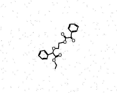 CCOC(=O)C(OCCOC(=O)C(=O)c1ccccc1)c1ccccc1